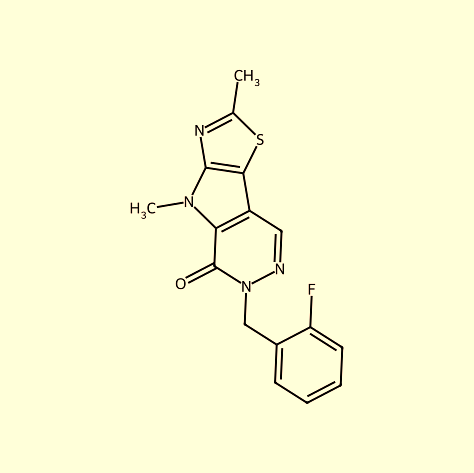 Cc1nc2c(s1)c1cnn(Cc3ccccc3F)c(=O)c1n2C